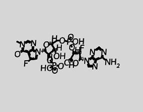 Cn1cnc2c(c(F)cn2[C@@H]2O[C@@H]3COP(=O)(O)O[C@H]4[C@@H](F)[C@H](n5cnc6c(N)ncnc65)O[C@@H]4COP(=O)(O)O[C@@H]2[C@@H]3O)c1=O